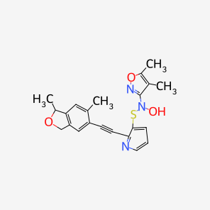 Cc1cc2c(cc1C#Cc1ncccc1SN(O)c1noc(C)c1C)COC2C